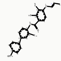 C/C=C/Oc1ccc(C(=O)Oc2ccc(-c3ccc(CCC)cc3)cc2F)c(F)c1F